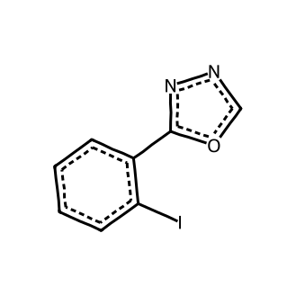 Ic1ccccc1-c1nnco1